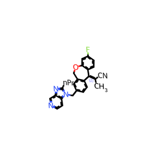 CCCc1nc2cnccc2n1Cc1ccc2c(c1)COc1cc(F)ccc1/C2=C(/C)C#N